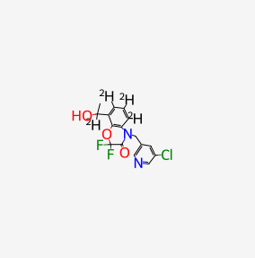 [2H]c1c([2H])c2c(c(C([2H])(C)O)c1[2H])OC(F)(F)C(=O)N2Cc1cncc(Cl)c1